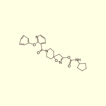 O=C(NC1CCCC1)OC1=NOC2(CCN(C(=O)c3cccnc3Oc3ccccc3)CC2)C1